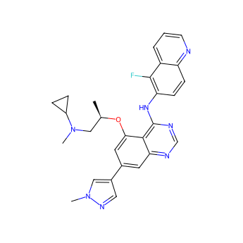 C[C@H](CN(C)C1CC1)Oc1cc(-c2cnn(C)c2)cc2ncnc(Nc3ccc4ncccc4c3F)c12